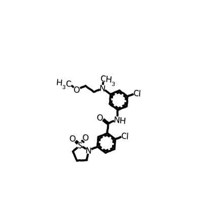 COCCN(C)c1cc(Cl)cc(NC(=O)c2cc(N3CCCS3(=O)=O)ccc2Cl)c1